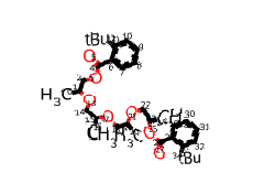 CC(COC(=O)c1ccccc1C(C)(C)C)OCC(C)OCC(C)OCC(C)OC(=O)c1ccccc1C(C)(C)C